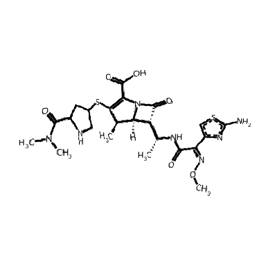 CO/N=C(\C(=O)N[C@H](C)[C@H]1C(=O)N2C(C(=O)O)=C(SC3CNC(C(=O)N(C)C)C3)[C@H](C)[C@H]12)c1csc(N)n1